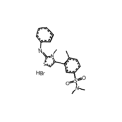 Br.Cc1ccc(S(=O)(=O)N(C)C)cc1-c1cs/c(=N/c2ccccc2)n1C